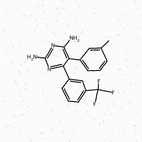 Cc1cccc(-c2c(N)nc(N)nc2-c2cccc(C(F)(F)F)c2)c1